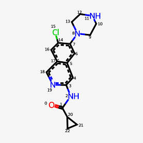 O=C(Nc1cc2cc(N3CCNCC3)c(Cl)cc2cn1)C1CC1